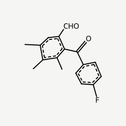 Cc1cc(C=O)c(C(=O)c2ccc(F)cc2)c(C)c1C